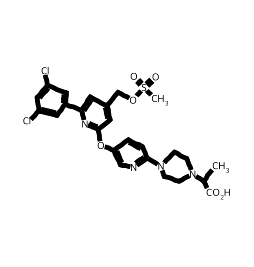 CC(C(=O)O)N1CCN(c2ccc(Oc3cc(COS(C)(=O)=O)cc(-c4cc(Cl)cc(Cl)c4)n3)cn2)CC1